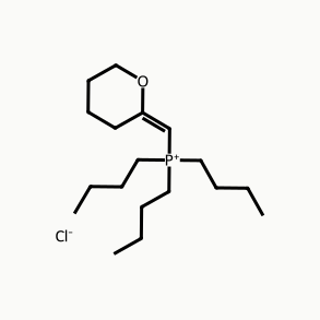 CCCC[P+](C=C1CCCCO1)(CCCC)CCCC.[Cl-]